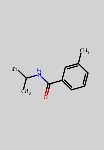 Cc1cccc(C(=O)NC(C)C(C)C)c1